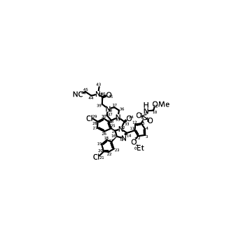 CCOc1ccc(S(=O)(=O)NCOC)cc1C1=N[C@@H](c2ccc(Cl)cc2)[C@@H](c2ccc(Cl)cc2)N1C(=O)N1CCN(CC(=O)N(C)CCC#N)CC1